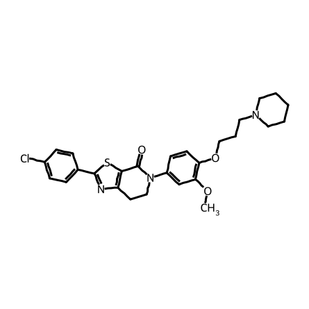 COc1cc(N2CCc3nc(-c4ccc(Cl)cc4)sc3C2=O)ccc1OCCCN1CCCCC1